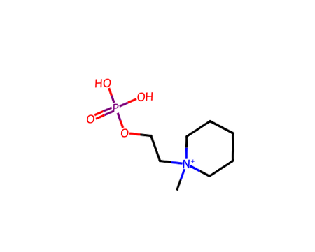 C[N+]1(CCOP(=O)(O)O)CCCCC1